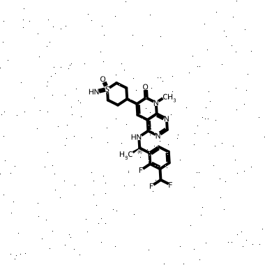 C[C@@H](Nc1ncnc2c1cc(C1CCS(=N)(=O)CC1)c(=O)n2C)c1cccc(C(F)F)c1F